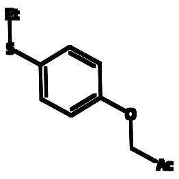 CCSc1ccc(OCC(C)=O)cc1